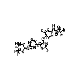 Cc1nc(Oc2cnc(NS(=O)(=O)C(F)F)cc2C)c(-c2ccnc(N[C@@H]3CNCC(F)(F)C3)n2)s1